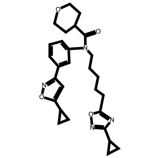 O=C(C1CCOCC1)N(CCCCCc1nc(C2CC2)no1)c1cccc(-c2cc(C3CC3)on2)c1